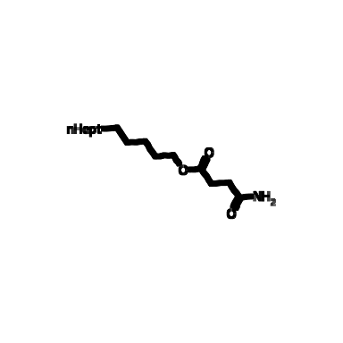 CCCCCCCCCCCCOC(=O)CCC(N)=O